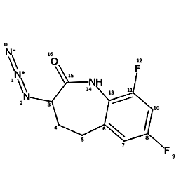 [N-]=[N+]=NC1CCc2cc(F)cc(F)c2NC1=O